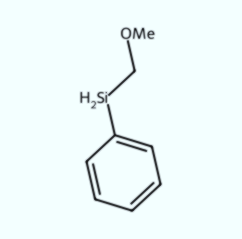 COC[SiH2]c1ccccc1